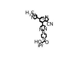 CC(C)[C@@H](O)C(=O)N1CCN(c2ncc(-c3cc(-c4cnn(C)c4)cn4ncc(C#N)c34)cn2)CC1